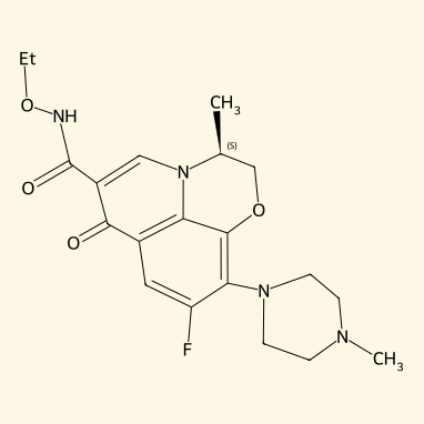 CCONC(=O)c1cn2c3c(c(N4CCN(C)CC4)c(F)cc3c1=O)OC[C@@H]2C